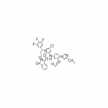 COc1cc(Nc2cc(Cl)cn(C(CCON3C(=O)c4ccccc4C3=O)c3cc(F)c(F)c(F)c3)c2=O)ccc1-n1cnc(C)c1